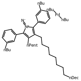 CCCCCCCCCCCCCCCCCCC1=C(c2cccc(CCCC)c2)[N+](=[N-])C(c2cccc(CCCC)c2)=C1CCCCC.CCC[CH2][Pd][CH2]CCC